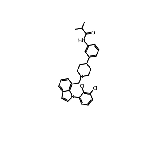 CC(C)C(=O)Nc1cccc(C2CCN(Cc3cccc4ccn(-c5cccc(Cl)c5Cl)c34)CC2)c1